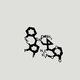 CC(c1occc(=O)c1OP)C1(CN(ON)[C@H]2c3ccccc3SCc3c2ccc(F)c3F)CC1